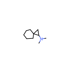 CN(C)C1CC12CCCCC2